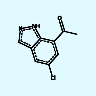 CC(=O)c1cc(Cl)cc2cn[nH]c12